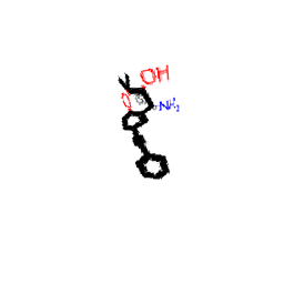 CC1(C)Oc2ccc(C#Cc3ccccc3)cc2[C@@H](N)[C@@H]1O